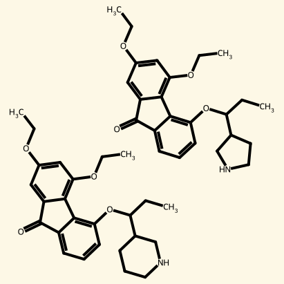 CCOc1cc(OCC)c2c(c1)C(=O)c1cccc(OC(CC)C3CCCNC3)c1-2.CCOc1cc(OCC)c2c(c1)C(=O)c1cccc(OC(CC)C3CCNC3)c1-2